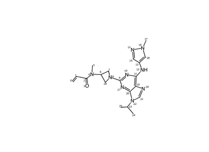 C=CC(=O)N(C)C1CN(c2nc(Nc3cnn(C)c3)c3ncn(C(C)C)c3n2)C1